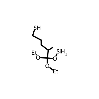 CCOC(O[SiH3])(OCC)C(C)CCCS